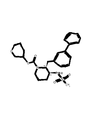 CS(=O)(=O)N[C@H]1CCCN(C(=O)OC2CCCOC2)[C@H]1Cc1cccc(-c2ccccc2)c1